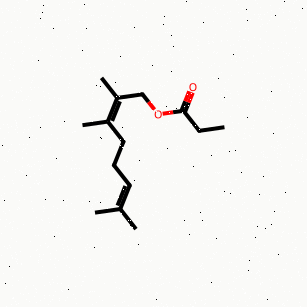 CCC(=O)OCC(C)=C(C)CCC=C(C)C